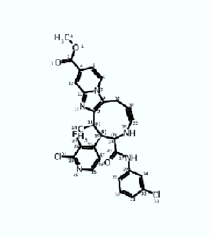 COC(=O)c1ccn2c3c(nc2c1)[C@H](C)[C@H](c1ccnc(Cl)c1F)[C@H](C(=O)Nc1cccc(Cl)c1)NC#CC3